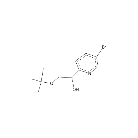 CC(C)(C)OCC(O)c1ccc(Br)cn1